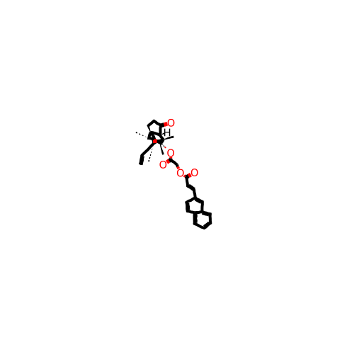 C=C[C@@]1(C)C[C@H](C)[C@]23CCC(=O)[C@H]2[C@@](C)([C@H](C)CC3)[C@H](OC(=O)COC(=O)/C=C/c2ccc3ccccc3c2)C1